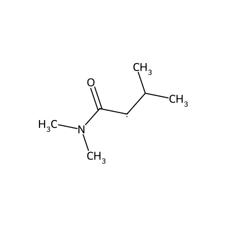 CC(C)[CH]C(=O)N(C)C